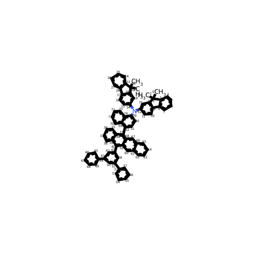 CC1(C)c2ccccc2-c2ccc(N(c3ccc4c(c3)C(C)(C)c3ccccc3-4)c3ccc(-c4c5ccccc5c(-c5cc(-c6ccccc6)cc(-c6ccccc6)c5)c5cc6ccccc6cc45)c4ccccc34)cc21